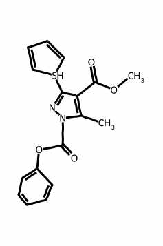 COC(=O)c1c([SH]2C=CC=C2)nn(C(=O)Oc2ccccc2)c1C